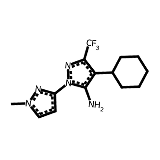 Cn1ccc(-n2nc(C(F)(F)F)c(C3CCCCC3)c2N)n1